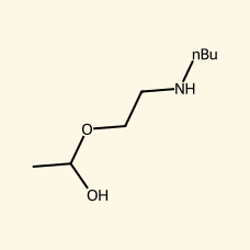 CCCCNCCOC(C)O